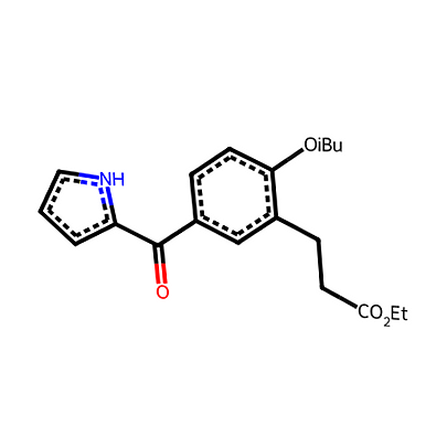 CCOC(=O)CCc1cc(C(=O)c2ccc[nH]2)ccc1OCC(C)C